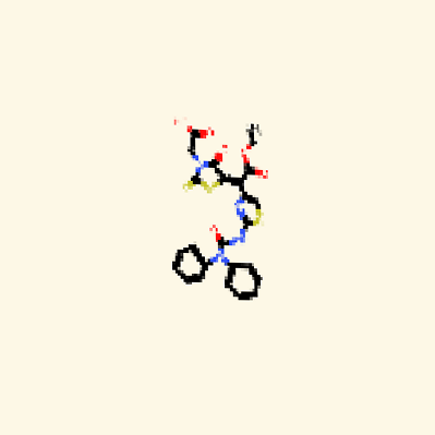 CCOC(=O)C(=C1SC(=S)N(CC(=O)O)C1=O)c1csc(NC(=O)N(c2ccccc2)c2ccccc2)n1